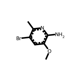 COc1cc(Br)c(C)nc1N